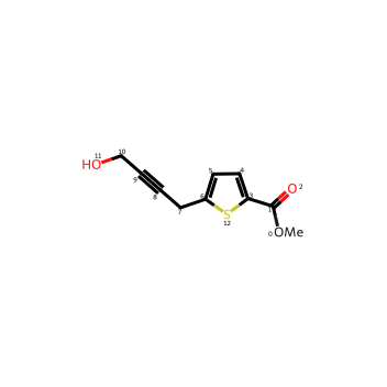 COC(=O)c1ccc(CC#CCO)s1